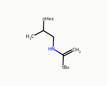 C=C(NCC(C)CCCCCC)C(C)(C)C